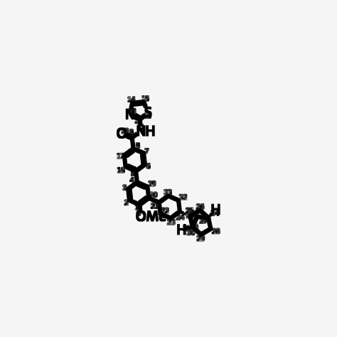 COc1ccc(-c2ccc(C(=O)Nc3nccs3)cc2)cc1C1CCC([C@@H]2C[C@H]3CC[C@H]2C3)CC1